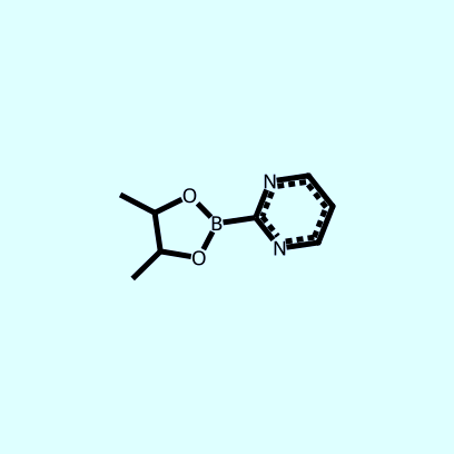 CC1OB(c2ncccn2)OC1C